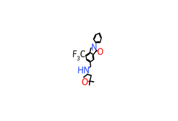 CC1(C)CC(NCc2cc3c(c(C(F)(F)F)c2)CN(c2ccccc2)C3=O)CO1